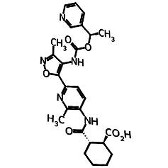 Cc1nc(-c2onc(C)c2NC(=O)O[C@H](C)c2cccnc2)ccc1NC(=O)[C@H]1CCCC[C@@H]1C(=O)O